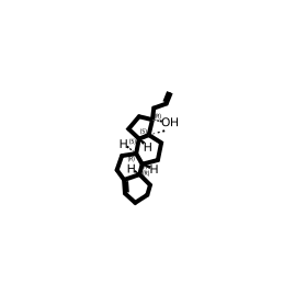 C=CC[C@]1(O)CC[C@H]2[C@@H]3CCC4=CCCC[C@@H]4[C@H]3CC[C@@]21C